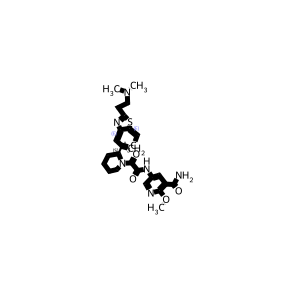 C=C(/C=c1/nc(CCN(C)C)s/c1=C/C)[C@@H]1CCCCN1C(=O)C(=O)Nc1cnc(OC)c(C(N)=O)c1